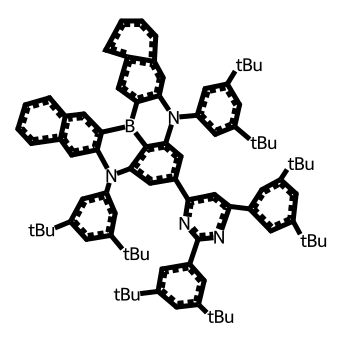 CC(C)(C)c1cc(-c2cc(-c3cc4c5c(c3)N(c3cc(C(C)(C)C)cc(C(C)(C)C)c3)c3cc6ccccc6cc3B5c3cc5ccccc5cc3N4c3cc(C(C)(C)C)cc(C(C)(C)C)c3)nc(-c3cc(C(C)(C)C)cc(C(C)(C)C)c3)n2)cc(C(C)(C)C)c1